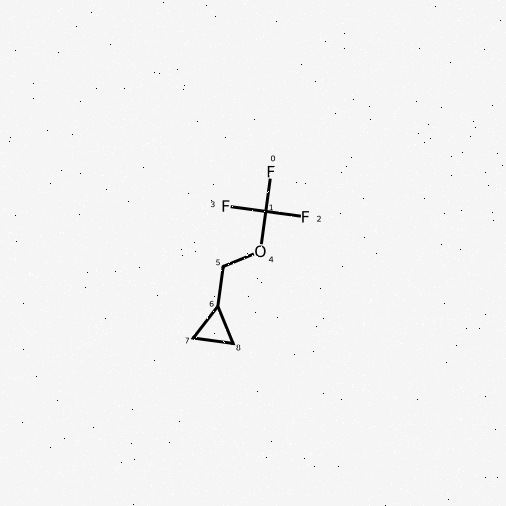 FC(F)(F)OCC1CC1